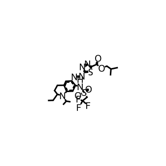 CCC1CCc2cc(N=Nc3nnc(C(=O)OCC(C)C)s3)c(NS(=O)(=O)CC(F)(F)F)cc2N1C(C)C